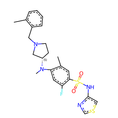 Cc1ccccc1CN1CC[C@H](N(C)c2cc(F)c(S(=O)(=O)Nc3cscn3)cc2C)C1